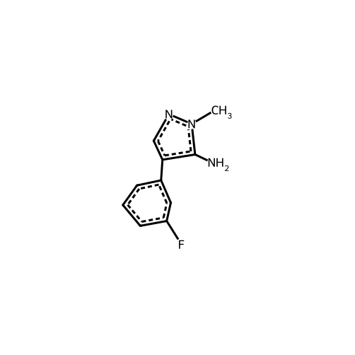 Cn1ncc(-c2cccc(F)c2)c1N